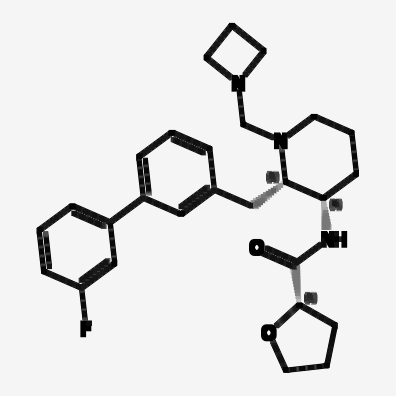 O=C(N[C@H]1CCCN(CN2CCC2)[C@H]1Cc1cccc(-c2cccc(F)c2)c1)[C@@H]1CCCO1